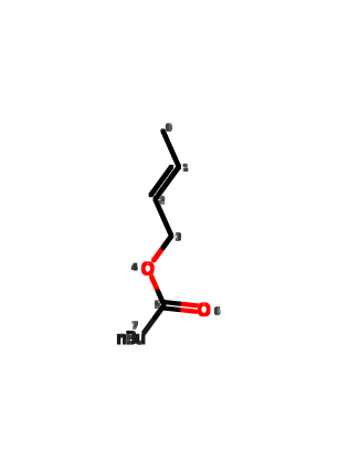 C/C=C/COC(=O)CCCC